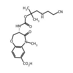 CN1C(=O)[C@@H](NC(=O)OC(C)(C)CNCCC#N)COc2ccc(C(=O)O)cc21